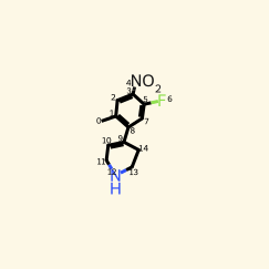 Cc1cc([N+](=O)[O-])c(F)cc1C1=CCNCC1